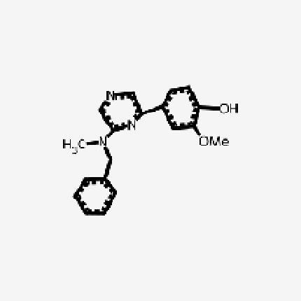 COc1cc(-c2cncc(N(C)Cc3ccccc3)n2)ccc1O